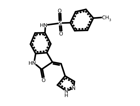 Cc1ccc(S(=O)(=O)Nc2ccc3c(c2)C(=Cc2cn[nH]c2)C(=O)N3)cc1